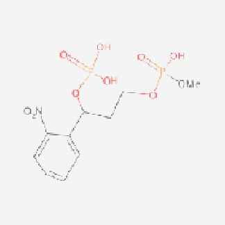 COP(=O)(O)OCCC(OP(=O)(O)O)c1ccccc1[N+](=O)[O-]